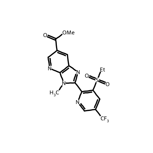 CCS(=O)(=O)c1cc(C(F)(F)F)cnc1-c1nc2cc(C(=O)OC)cnc2n1C